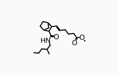 CCCC(C)CNC(=O)C1C2CCC(C2)C1C=CCCCC(=O)OC